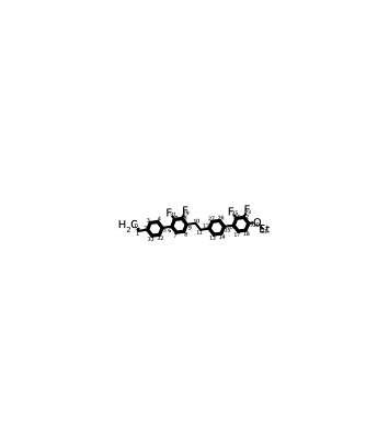 C=Cc1ccc(-c2ccc(CCc3ccc(-c4ccc(OCC)c(F)c4F)cc3)c(F)c2F)cc1